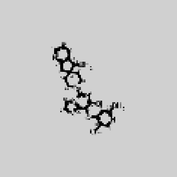 Bc1cc(Sc2c(B)nc(N3CCC4(CC3)Cc3ncccc3C4B)n3ccnc23)c(Cl)cn1